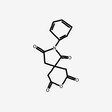 O=C1CC2(CC(=O)O1)CC(=O)N(c1ccccc1)C2=O